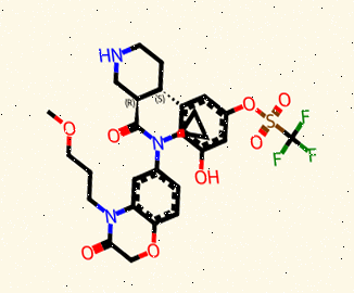 COCCCN1C(=O)COc2ccc(N(C(=O)[C@H]3CNCC[C@@H]3c3cc(O)cc(OS(=O)(=O)C(F)(F)F)c3)C3CC3)cc21